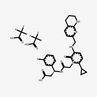 O=C(O)C(F)(F)F.O=C(O)C(F)(F)F.O=C(O)C[C@H](NC(=O)Cn1c(C2CC2)ccc(NCc2ccc3c(n2)NCCC3)c1=O)c1cccc(F)c1